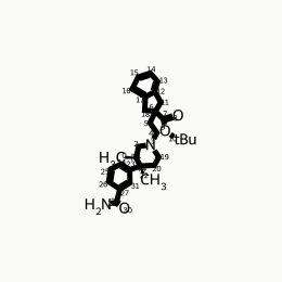 C[C@H]1CN(CCC2(C(=O)OC(C)(C)C)Cc3ccccc3C2)CC[C@]1(C)c1cccc(C(N)=O)c1